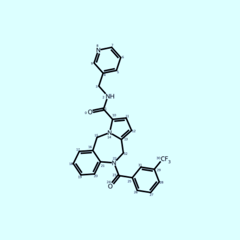 O=C(NCc1cccnc1)c1ccc2n1Cc1ccccc1N(C(=O)c1cccc(C(F)(F)F)c1)C2